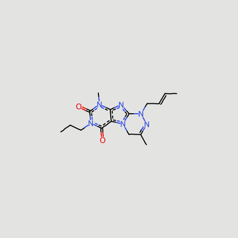 C/C=C/CN1N=C(C)Cn2c1nc1c2c(=O)n(CCC)c(=O)n1C